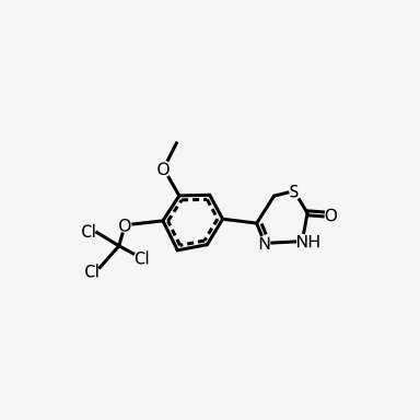 COc1cc(C2=NNC(=O)SC2)ccc1OC(Cl)(Cl)Cl